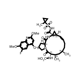 COc1cc(O[C@@H]2C[C@H]3C(=O)N[C@]4(C(=O)NS(=O)(=O)C5(C)CC5)C[C@H]4C=CCC[C@@H](C)C[C@@H](C)[C@H](NC(=O)O)C(=O)N3C2)c2cc(F)c(OC)cc2n1